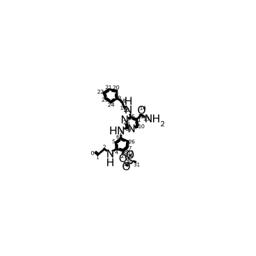 C=CCNc1cc(Nc2ncc(C(N)=O)c(NCCc3ccccc3)n2)ccc1OS(C)(=O)=O